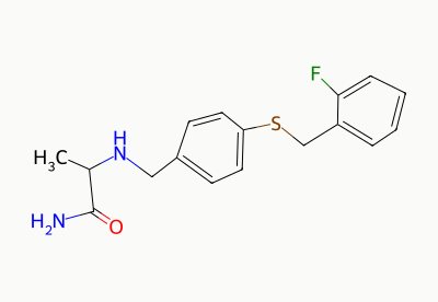 CC(NCc1ccc(SCc2ccccc2F)cc1)C(N)=O